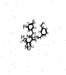 CCc1cccc(CNCC(c2conc2OC)C(N)Cc2cc(F)cc(F)c2)c1